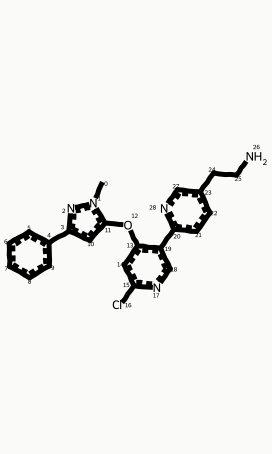 Cn1nc(-c2ccccc2)cc1Oc1cc(Cl)ncc1-c1ccc(CCN)cn1